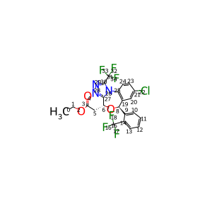 CCOC(=O)C[C@H]1O[C@H](c2ccccc2C(F)(F)F)c2cc(Cl)ccc2-n2c1nnc2C(F)(F)F